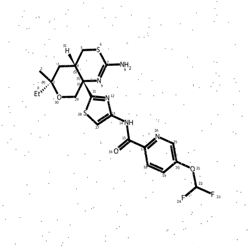 CC[C@]1(C)C[C@@H]2CSC(N)=N[C@]2(c2nc(NC(=O)c3ccc(OC(F)F)cn3)cs2)CO1